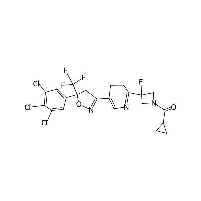 O=C(C1CC1)N1CC(F)(c2ccc(C3=NOC(c4cc(Cl)c(Cl)c(Cl)c4)(C(F)(F)F)C3)cn2)C1